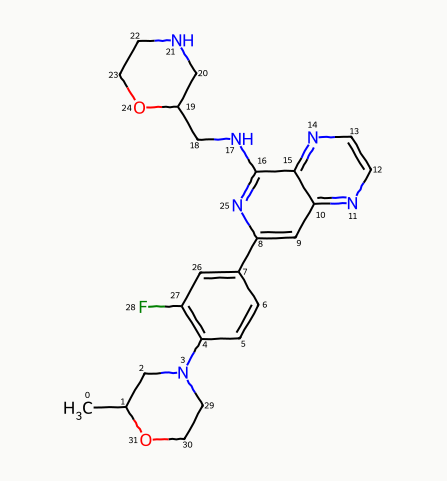 CC1CN(c2ccc(-c3cc4nccnc4c(NCC4CNCCO4)n3)cc2F)CCO1